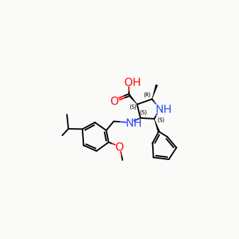 COc1ccc(C(C)C)cc1CN[C@H]1[C@@H](C(=O)O)[C@@H](C)N[C@H]1c1ccccc1